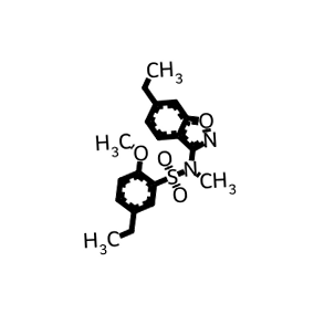 CCc1ccc(OC)c(S(=O)(=O)N(C)c2noc3cc(CC)ccc23)c1